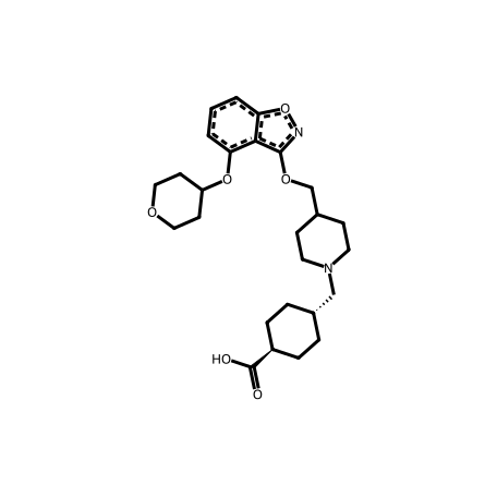 O=C(O)[C@H]1CC[C@H](CN2CCC(COc3noc4cccc(OC5CCOCC5)c34)CC2)CC1